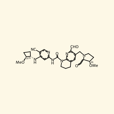 CO[C@H]1CC[C@@H]1Nc1cc(NC(=O)N2CCCc3cc(CN4CC[C@@H](OC)C4=C=O)c(C=O)nc32)ncc1C#N